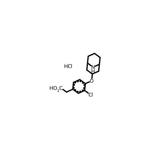 Cl.O=C(O)Cc1ccc(OC2CC3CCCC(C2)N3)c(Cl)c1